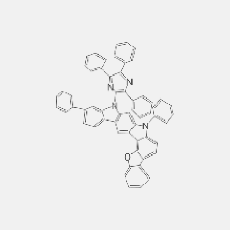 c1ccc(-c2ccc3c4cc5c6c7oc8ccccc8c7ccc6n(-c6ccccc6)c5cc4n(-c4nc(-c5ccccc5)c(-c5ccccc5)nc4-c4ccccc4)c3c2)cc1